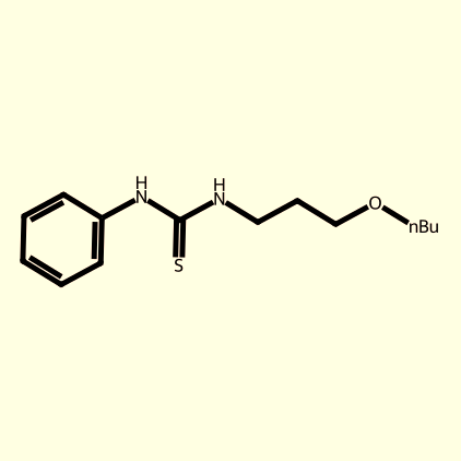 CCCCOCCCNC(=S)Nc1ccccc1